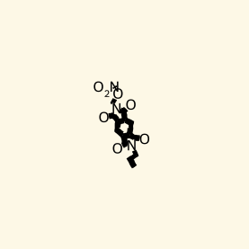 C=CCn1c(=O)c2cc3c(=O)n(CO[N+](=O)[O-])c(=O)c3cc2c1=O